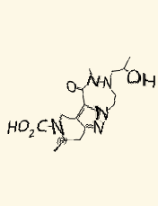 CC(O)CN1CCn2nc3c(c2C(=O)N1C)CN(C(=O)O)[C@H](C)C3